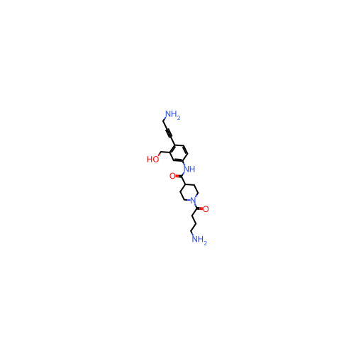 NCC#Cc1ccc(NC(=O)C2CCN(C(=O)CCCN)CC2)cc1CO